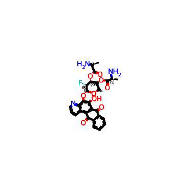 C[C@H](N)C(=O)O[C@H]1[C@@H](F)[C@H](Oc2c(O)c3c(c4cccnc24)C(=O)c2ccccc2C3=O)O[C@@H](C)[C@H]1OC(=O)[C@H](C)N